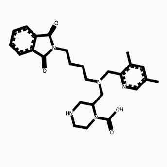 Cc1cnc(CN(CCCCN2C(=O)c3ccccc3C2=O)CC2CNCCN2C(=O)O)c(C)c1